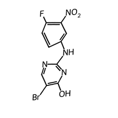 O=[N+]([O-])c1cc(Nc2ncc(Br)c(O)n2)ccc1F